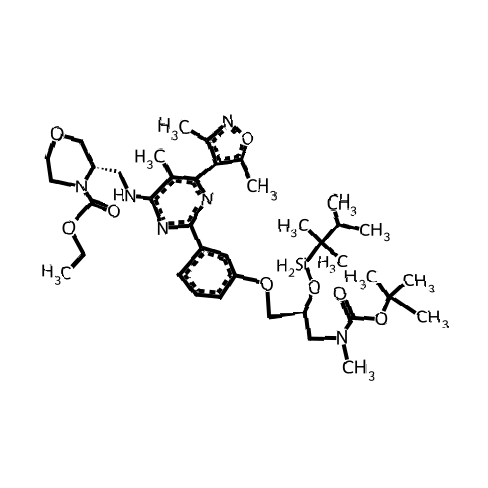 CCOC(=O)N1CCOC[C@@H]1CNc1nc(-c2cccc(OC[C@H](CN(C)C(=O)OC(C)(C)C)O[SiH2]C(C)(C)C(C)C)c2)nc(-c2c(C)noc2C)c1C